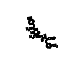 C[C@@H](NC(=O)[C@@H](N)Cc1ccc(O)cc1)C(=O)NCC(=O)N[C@H]([C]=O)Cc1cccc(C(F)(F)F)c1